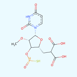 CO[C@H]1C(O[PH](=O)S)[C@@H](CC(C(=O)O)C(=O)O)O[C@H]1n1ccc(=O)[nH]c1=O